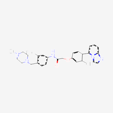 CCN1CCN(Cc2ccc(NC(=O)COC3=CC(C)C(c4cccc5nccn45)C=C3)cc2C(F)(F)F)CC1